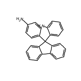 Nc1ccc(C2(c3ccccc3N)c3ccccc3-c3ccccc32)cc1